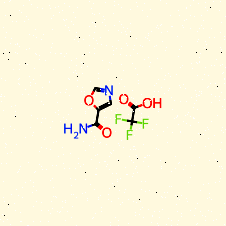 NC(=O)c1cnco1.O=C(O)C(F)(F)F